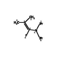 CC(C)=C(F)N(C(C)C)C(C)C